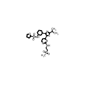 CC(C)c1nc(-c2cccc(NS(=O)(=O)c3ccco3)c2)c(-c2ccnc(NCCS(C)(=O)=O)n2)s1